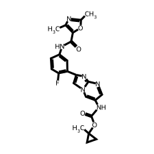 Cc1nc(C)c(C(=O)Nc2ccc(F)c(-c3cn4cc(NC(=O)OC5(C)CC5)cnc4n3)c2)o1